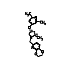 Cc1cc(O[C@@H]2C[C@@H](C)N(Cc3ccc4c(n3)OCCO4)C2)cc(C)n1